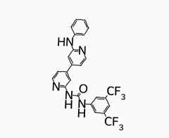 O=C(Nc1cc(C(F)(F)F)cc(C(F)(F)F)c1)Nc1cc(-c2ccnc(Nc3ccccc3)c2)ccn1